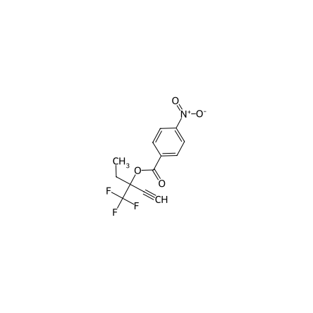 C#CC(CC)(OC(=O)c1ccc([N+](=O)[O-])cc1)C(F)(F)F